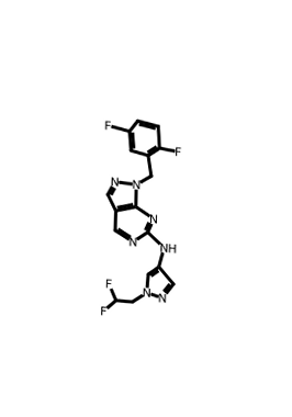 Fc1ccc(F)c(Cn2ncc3cnc(Nc4cnn(CC(F)F)c4)nc32)c1